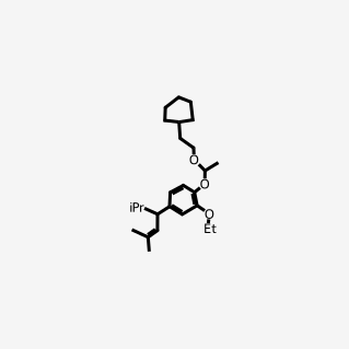 CCOc1cc(C(C=C(C)C)C(C)C)ccc1OC(C)OCCC1CCCCC1